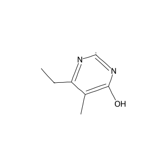 CCc1n[c]nc(O)c1C